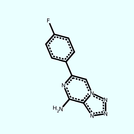 Nc1nc(-c2ccc(F)cc2)cn2nnnc12